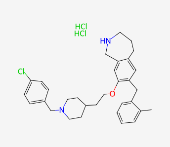 Cc1ccccc1Cc1cc2c(cc1OCCC1CCN(Cc3ccc(Cl)cc3)CC1)CNCCC2.Cl.Cl